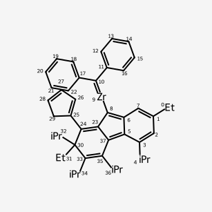 CCc1cc(C(C)C)c2c(c1)=[C]([Zr]=[C](c1ccccc1)c1ccccc1)C1=C(C3=CC=CC3)C(CC)(C(C)C)C(C(C)C)=C(C(C)C)C=21